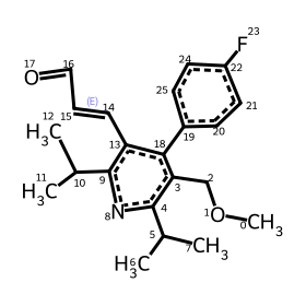 COCc1c(C(C)C)nc(C(C)C)c(/C=C/C=O)c1-c1ccc(F)cc1